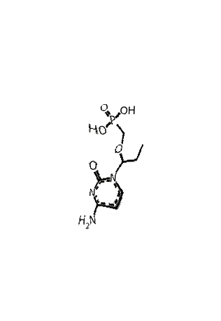 CCC(OCP(=O)(O)O)n1ccc(N)nc1=O